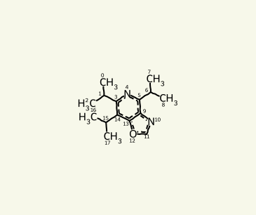 CC(C)c1nc(C(C)C)c2ncoc2c1C(C)C